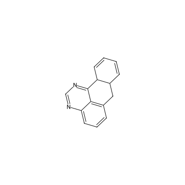 C1=CC2Cc3cccc4ncnc(c34)C2C=C1